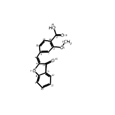 COc1cc(/C=C2/Oc3ccccc3C2=O)ccc1C(=O)O